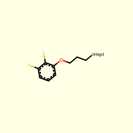 CCCCCCCCCCOc1cc[c]c(F)c1F